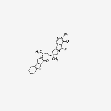 CC(CCC1(C)Cc2c3cnn(C(C)C)c(=O)c3c(F)n2C1)N1Cc2c(sc3c2CCCC3)C1=O